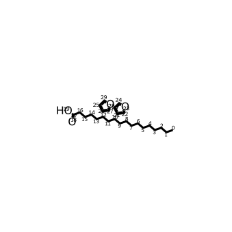 CCCCCCCCCCCCCCCCCC(=O)O.c1ccoc1.c1ccoc1